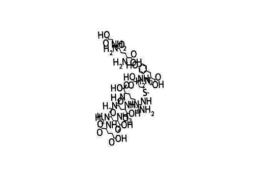 CSCC[C@H](N)C(=O)O.N=C(N)NCCC[C@H](N)C(=O)O.NC(=O)CC[C@H](N)C(=O)O.NC(=O)C[C@H](N)C(=O)O.NC(=O)C[C@H](N)C(=O)O.NCC(=O)O.N[C@@H](CCC(=O)O)C(=O)O.N[C@@H](Cc1ccc(O)cc1)C(=O)O